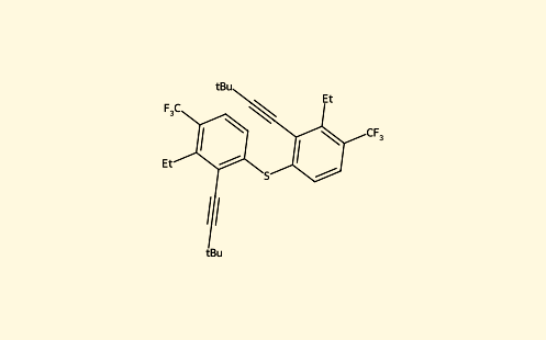 CCc1c(C(F)(F)F)ccc(Sc2ccc(C(F)(F)F)c(CC)c2C#CC(C)(C)C)c1C#CC(C)(C)C